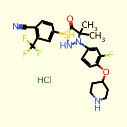 CC1(C)C(=O)[SH](c2ccc(C#N)c(C(F)(F)F)c2)NN1c1ccc(OC2CCNCC2)c(F)c1.Cl